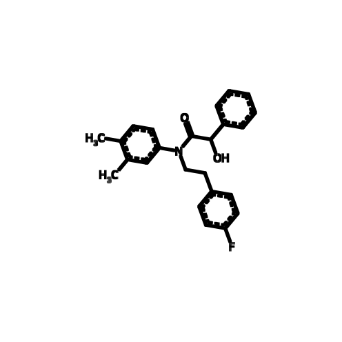 Cc1ccc(N(CCc2ccc(F)cc2)C(=O)C(O)c2ccccc2)cc1C